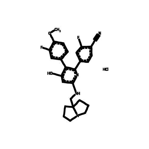 COc1ccc(-c2c(O)cc(NCC34CCCN3CCC4)nc2-c2ccc(C#N)c(F)c2)cc1F.Cl